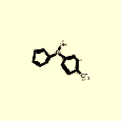 OB(c1[c]cccc1)c1ccc(C(F)(F)F)cc1